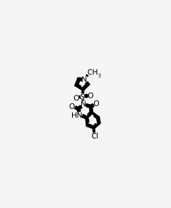 Cn1ccc(S(=O)(=O)n2c(=O)[nH]c3cc(Cl)ccc3c2=O)c1